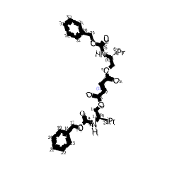 CC(C)[C@H](COC(=O)/C=C/C(=O)OC[C@H](NC(=O)OCc1ccccc1)C(C)C)NC(=O)OCc1ccccc1